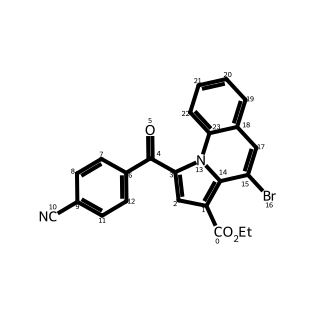 CCOC(=O)c1cc(C(=O)c2ccc(C#N)cc2)n2c1c(Br)cc1ccccc12